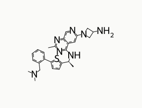 Cc1nc(N[C@@H](C)c2ccc(-c3ccccc3CN(C)C)s2)c2cc(N3CC(N)C3)ncc2n1